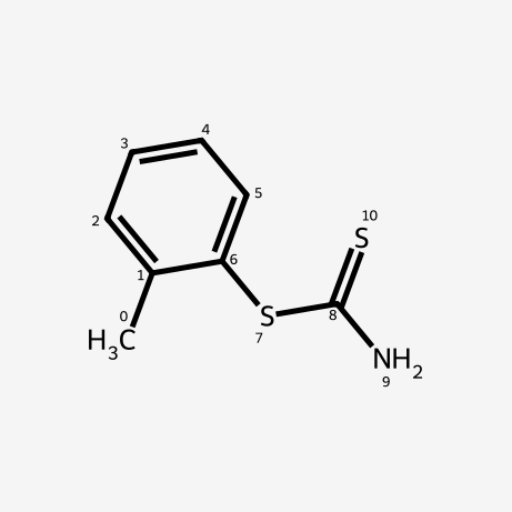 Cc1ccccc1SC(N)=S